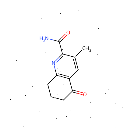 Cc1cc2c(nc1C(N)=O)CCCC2=O